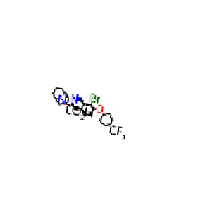 O=C(O)C1CC2CCCC(C1)N2Cc1cc2ccc(OC3CCC(C(F)(F)F)CC3)c(Br)c2cn1